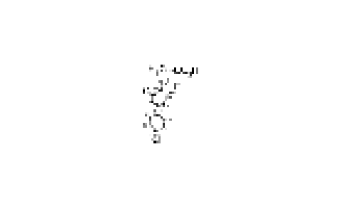 CC(C(=O)O)c1ccc2oc(-c3ccc(Cl)cc3)cc(=O)c2c1